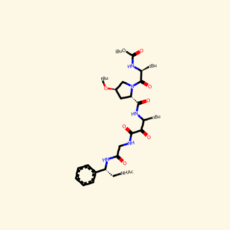 CCCCC(NC(=O)[C@@H]1C[C@@H](OC(C)(C)C)CN1C(=O)[C@@H](NC(=O)OCC(C)C)C(C)(C)C)C(=O)C(=O)NCC(=O)N[C@H](CNC(C)=O)c1ccccc1